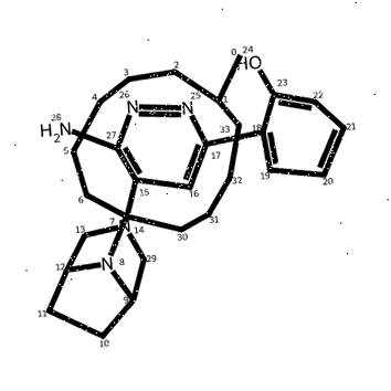 CC1CCCCCC(N2C3CCC2CN(c2cc(-c4ccccc4O)nnc2N)C3)CCCC1